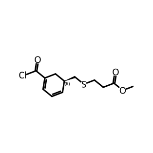 COC(=O)CCSC[C@H]1C=CC=C(C(=O)Cl)C1